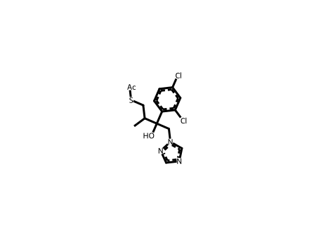 CC(=O)SCC(C)C(O)(Cn1cncn1)c1ccc(Cl)cc1Cl